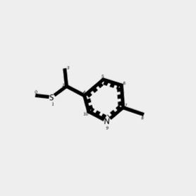 CSC(C)c1ccc(C)nc1